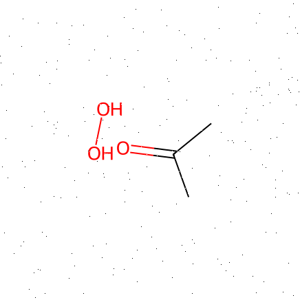 CC(C)=O.OO